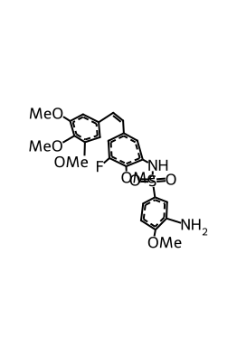 COc1ccc(S(=O)(=O)Nc2cc(/C=C\c3cc(OC)c(OC)c(OC)c3)cc(F)c2OC)cc1N